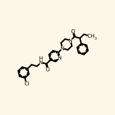 CCC(C(=O)N1CCN(c2ccc(C(=O)NCCc3cccc(Cl)c3)cn2)CC1)c1ccccc1